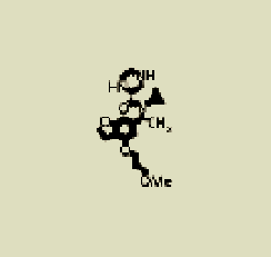 COCCCOc1cc([C@H](C)N(C(=O)[C@H]2CNCCN2)C2CC2)cc2c1CCO2